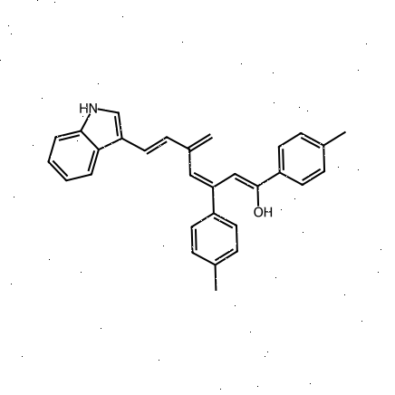 C=C(/C=C/c1c[nH]c2ccccc12)/C=C(\C=C(/O)c1ccc(C)cc1)c1ccc(C)cc1